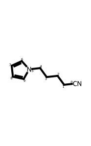 N#CCCCCn1cccc1